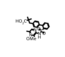 COc1nc(C)cnc1NS(=O)(=O)c1ccccc1-c1ccc(CC(C)(C)C(=O)O)cc1